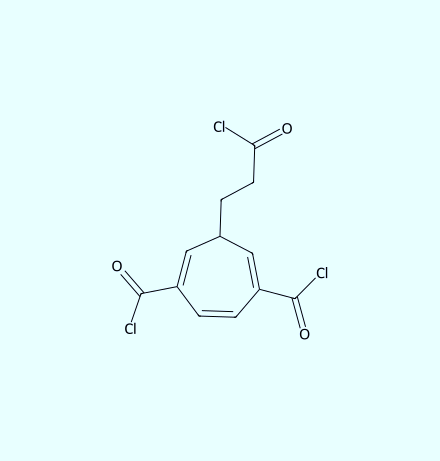 O=C(Cl)CCC1C=C(C(=O)Cl)C=CC(C(=O)Cl)=C1